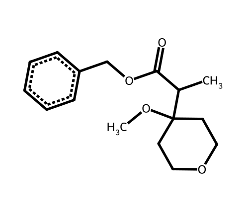 COC1(C(C)C(=O)OCc2ccccc2)CCOCC1